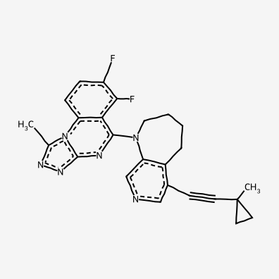 Cc1nnc2nc(N3CCCCc4c(C#CC5(C)CC5)cncc43)c3c(F)c(F)ccc3n12